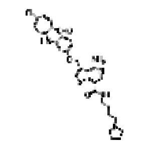 Nc1ncc(C(=O)NCCCCN2CCCC2)c2scc(COc3cccc(NC4=CC=C(Cl)C=CC4C=O)c3)c12